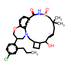 CCCc1cc(Cl)ccc1C1COc2ccc3cc2N(C1)CC1CCC1C(O)/C=C/CC(C)(C)C[S+]([O-])NC3=O